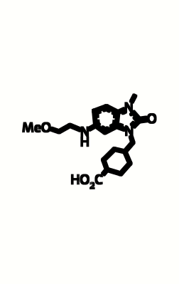 COCCNc1ccc2c(c1)n(CC1CCC(C(=O)O)CC1)c(=O)n2C